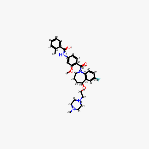 COc1cc(NC(=O)c2ccccc2C)ccc1C(=O)N1CCCC(OCCN2CCN(C)CC2)c2cc(F)ccc21